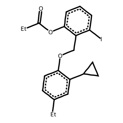 CCC(=O)Oc1cccc(I)c1COc1ccc(CC)cc1C1CC1